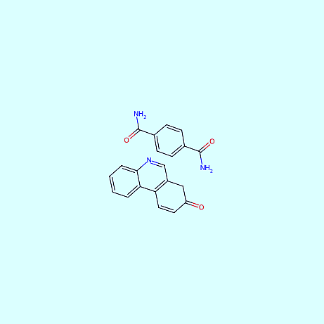 NC(=O)c1ccc(C(N)=O)cc1.O=C1C=Cc2c(cnc3ccccc23)C1